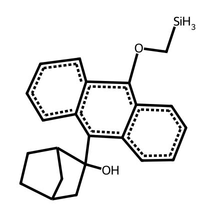 OC1(c2c3ccccc3c(OC[SiH3])c3ccccc23)CC2CCC1C2